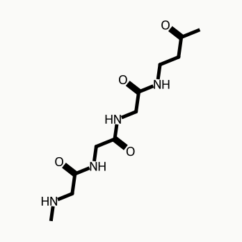 CNCC(=O)NCC(=O)NCC(=O)NCCC(C)=O